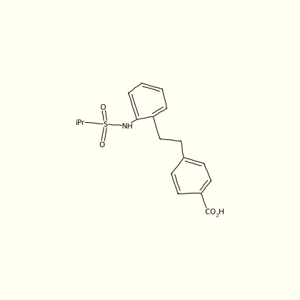 CC(C)S(=O)(=O)Nc1ccccc1CCc1ccc(C(=O)O)cc1